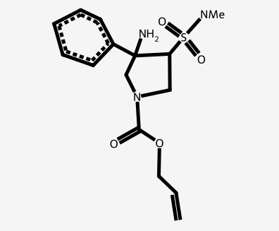 C=CCOC(=O)N1CC(S(=O)(=O)NC)C(N)(c2ccccc2)C1